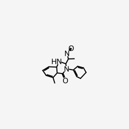 CC1=CC=CC2NC(C(C)N=O)N(C3=CCCC=C3)C(=O)C12